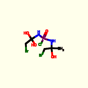 BC(O)(CBr)NP(=O)(Cl)NC(O)(O)CBr